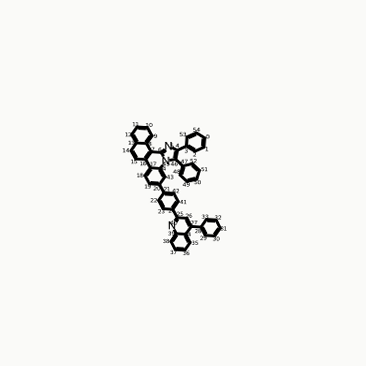 c1ccc(-c2nc3c4c5ccccc5ccc4c4ccc(-c5ccc(-c6cc(-c7ccccc7)c7ccccc7n6)cc5)cc4n3c2-c2ccccc2)cc1